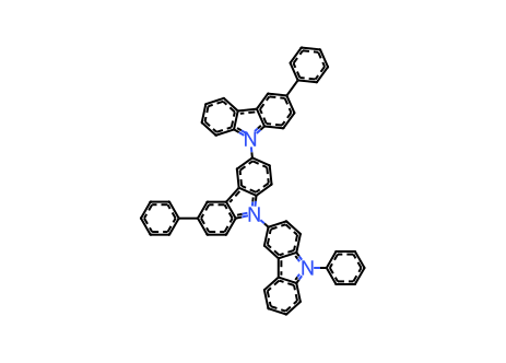 c1ccc(-c2ccc3c(c2)c2ccccc2n3-c2ccc3c(c2)c2cc(-c4ccccc4)ccc2n3-c2ccc3c(c2)c2ccccc2n3-c2ccccc2)cc1